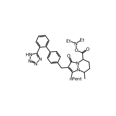 CCCCCc1c(Cc2ccc(-c3ccccc3-c3nnn[nH]3)cc2)c(=O)n2n1C(C)CCC2C(=O)ON(CC)CC